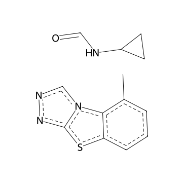 Cc1cccc2sc3nncn3c12.O=CNC1CC1